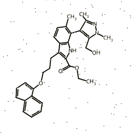 CCOC(=O)c1[nH]c2c(-c3c(C)nn(C)c3CO)c(C)ccc2c1CCCOc1cccc2ccccc12